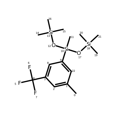 Cc1cc(C(F)(F)F)cc([Si](C)(O[Si](C)(C)C)O[Si](C)(C)C)c1